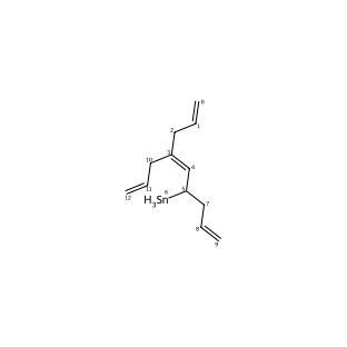 C=CCC(=C[CH]([SnH3])CC=C)CC=C